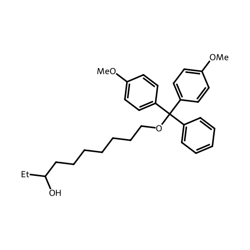 CCC(O)CCCCCCCOC(c1ccccc1)(c1ccc(OC)cc1)c1ccc(OC)cc1